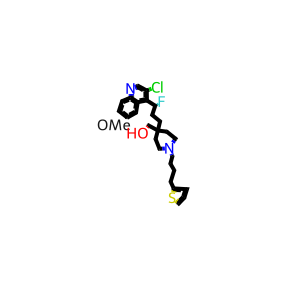 COc1ccc2ncc(Cl)c([C@@H](F)CCC3(CO)CCN(CCCCc4cccs4)CC3)c2c1